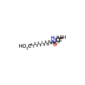 O=C(O)CCCCCCCCCCCCNC(=O)c1ccc(S)cc1